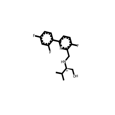 CC(C)[C@H](CO)NCc1nc(-c2ccc(F)cc2F)ccc1F